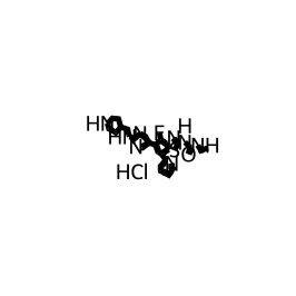 CCNC(=O)Nc1nc2c(F)c(-c3cnc(NCC4CCNCC4)nc3)cc(-c3ccccn3)c2s1.Cl